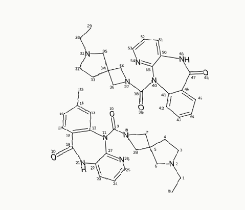 CCN1CCC2(C1)CN(C(=O)N1c3cc(C)ccc3C(=O)Nc3cccnc31)C2.CCN1CCC2(C1)CN(C(=O)N1c3ccccc3C(=O)Nc3cccnc31)C2